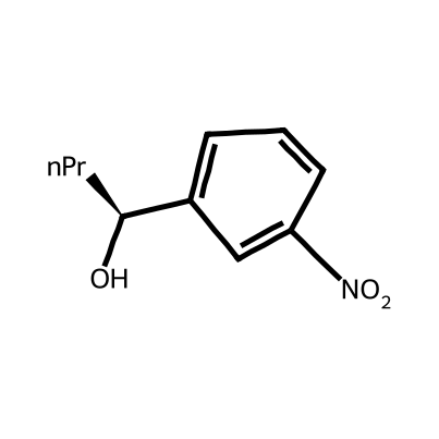 CCC[C@H](O)c1cccc([N+](=O)[O-])c1